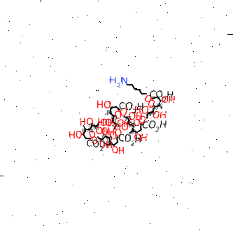 C[C@@H]1C(O)CC(OC[C@@H](O)[C@@H](O)[C@@H]2OC(OC[C@@H](O)[C@@H](O)[C@@H]3OC(OC[C@@H](O)[C@@H](O)[C@@H]4OC(OC[C@@H](O)[C@@H](O)[C@@H]5OC(OCCCCCCN)(C(=O)O)CC(O)[C@H]5C)(C(=O)O)CC(O)[C@H]4C)(C(=O)O)CC(O)[C@H]3C)(C(=O)O)CC(O)[C@H]2C)(C(=O)O)O[C@H]1[C@H](O)[C@H](O)CO